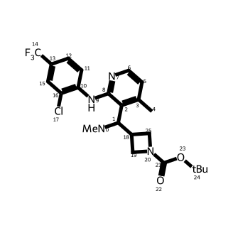 CNC(c1c(C)ccnc1Nc1ccc(C(F)(F)F)cc1Cl)C1CN(C(=O)OC(C)(C)C)C1